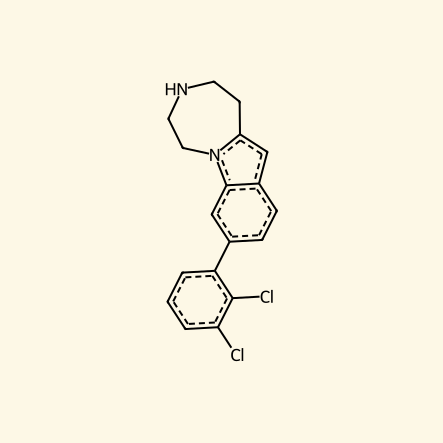 Clc1cccc(-c2ccc3cc4n(c3c2)CCNCC4)c1Cl